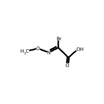 CON=C(Br)C(=O)O